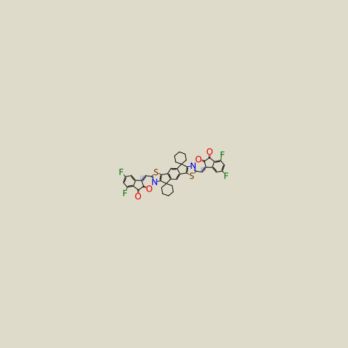 O=C1C(=O)c2c(F)cc(F)cc2/C1=C/c1nc2c(s1)-c1cc3c(cc1C21CCCCC1)-c1sc(/C=C2\C(=O)C(=O)c4c(F)cc(F)cc42)nc1C31CCCCC1